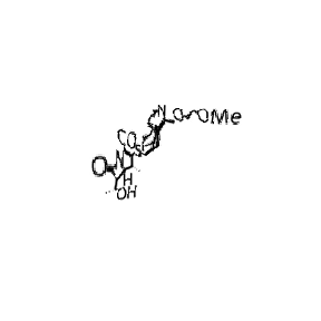 COCCOCc1ncsc1/C=C\SC1=C(C(=O)O)N2C(=O)[C@H]([C@@H](C)O)[C@H]2[C@H]1C